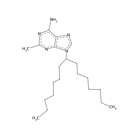 CCCCCCCC(CCCCCCC)n1cnc2c(N)nc(C)nc21